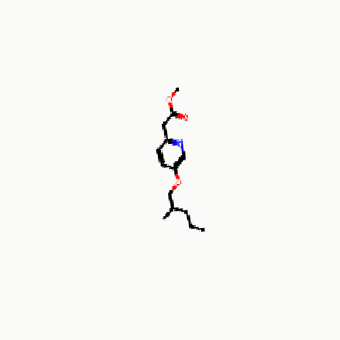 CCCC(C)COc1ccc(CC(=O)OC)nc1